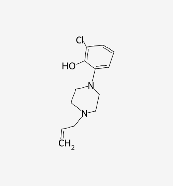 C=CCN1CCN(c2cccc(Cl)c2O)CC1